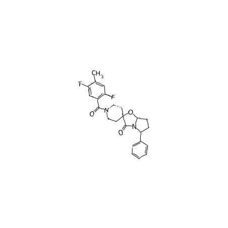 Cc1cc(F)c(C(=O)N2CCC3(CC2)OC2CCC(c4ccccc4)N2C3=O)cc1F